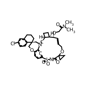 CN(C)C(=O)CO[C@@H]1/C=C/COC2(CC2)C(=O)NS(=O)(=O)c2ccc3c(c2)N(C[C@@H]2CC[C@H]21)C[C@@]1(CCCc2cc(Cl)ccc21)CO3